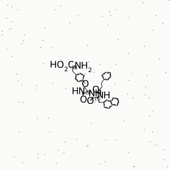 N[C@@H](Cc1ccc(OC2NC(=O)[C@H]2NC(=O)[C@H](Cc2ccc3ccccc3c2)NC(=O)CCc2ccccc2)cc1)C(=O)O